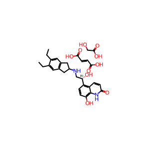 CCc1cc2c(cc1CC)CC(NC[C@H](O)c1ccc(O)c3[nH]c(=O)ccc13)C2.O=C(O)C=CC(=O)O.O=C(O)CO